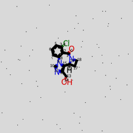 O=C1c2c(Cl)cccc2-n2cnc(CO)c2[C@@H]2CCN12